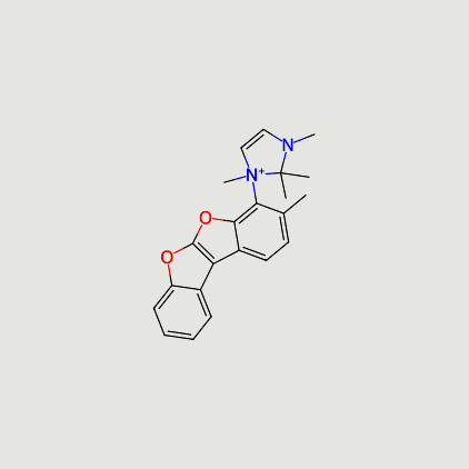 Cc1ccc2c(oc3oc4ccccc4c32)c1[N+]1(C)C=CN(C)C1(C)C